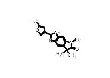 CCN1C(=O)C(C)(C)c2cc3nc(-c4coc(C)c4)[nH]c3cc21